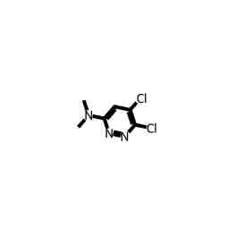 CN(C)c1cc(Cl)c(Cl)nn1